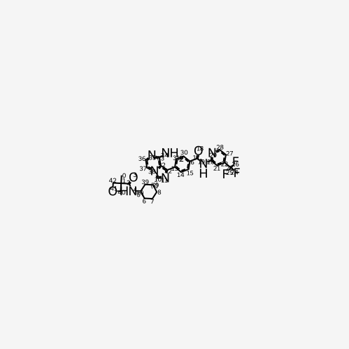 CC1(C(=O)N[C@@H]2CCC[C@@H](c3nc(-c4ccc(C(=O)Nc5cc(C(F)(F)F)ccn5)cc4)c4c(N)nccn34)C2)COC1